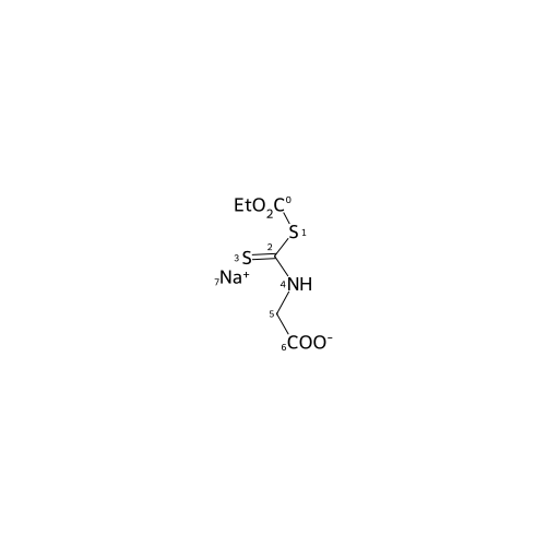 CCOC(=O)SC(=S)NCC(=O)[O-].[Na+]